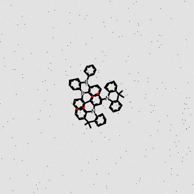 CC1(C)c2ccccc2N(c2ccc(-c3ccccc3B3c4ccccc4B(c4ccccc4)c4ccccc43)c(N3c4ccccc4C(C)(C)c4ccccc43)c2)c2ccccc21